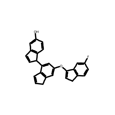 Oc1ccc2c(c1)C=CC2c1cc(OC2=CCc3ccc(F)cc32)cc2c1C=CC2